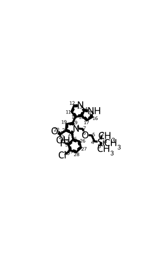 C[Si](C)(C)CCOCn1c(-c2ccnc3[nH]ccc23)cc(C(=O)O)c1-c1cccc(Cl)c1F